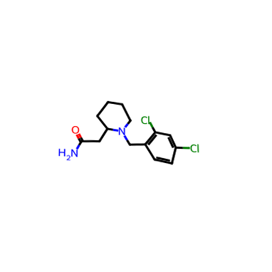 NC(=O)CC1CCCCN1Cc1ccc(Cl)cc1Cl